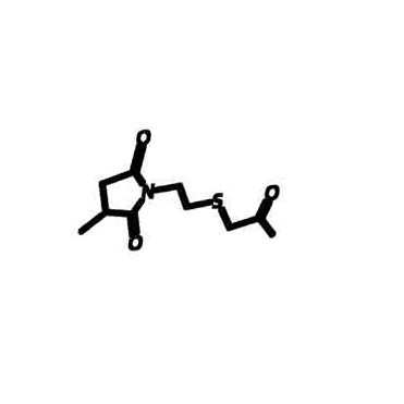 CC(=O)CSCCN1C(=O)CC(C)C1=O